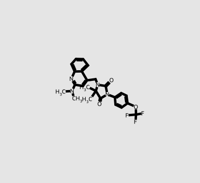 CN(C)c1cc(CN2C(=O)N(c3ccc(OC(F)(F)F)cc3)C(=O)C2(C)C)c2ccccc2n1